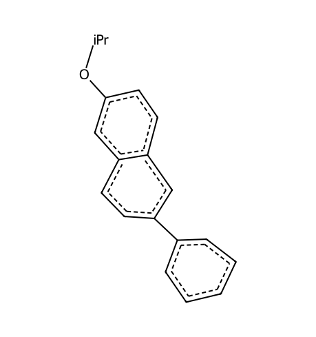 CC(C)Oc1ccc2cc(-c3ccccc3)ccc2c1